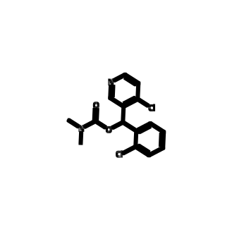 CN(C)C(=O)OC(c1ccccc1Cl)c1cnccc1Cl